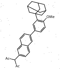 COc1ccc(-c2ccc3cc(C(C(C)=O)C(C)=O)ccc3c2)cc1C12CC3CC(CC(C3)C1)C2